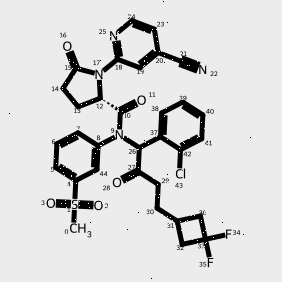 CS(=O)(=O)c1cccc(N(C(=O)[C@@H]2CCC(=O)N2c2cc(C#N)ccn2)C(C(=O)CCC2CC(F)(F)C2)c2ccccc2Cl)c1